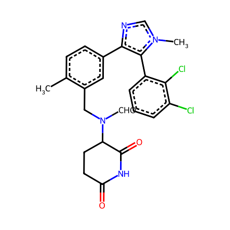 Cc1ccc(-c2ncn(C)c2-c2cccc(Cl)c2Cl)cc1CN(C=O)C1CCC(=O)NC1=O